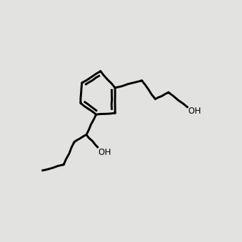 CCCC(O)c1cccc(CCCO)c1